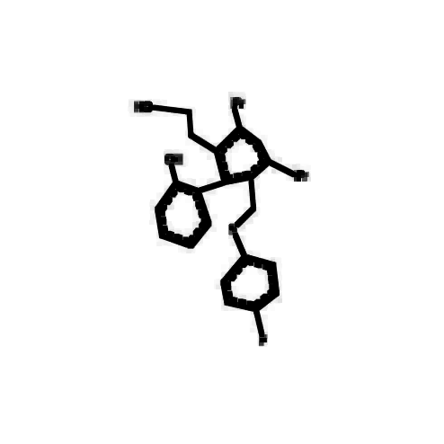 CC(C)c1cc(C(C)C)c(CSc2ccc(F)cc2)c(-c2ccccc2O)c1CCO